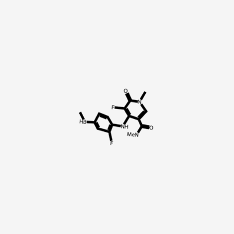 CBc1ccc(Nc2c(C(=O)NC)cn(C)c(=O)c2F)c(F)c1